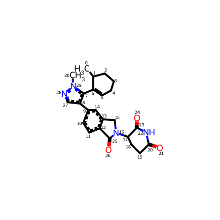 CC1CCCC=C1c1c(-c2ccc3c(c2)CN(C2CCC(=O)NC2=O)C3=O)cnn1C